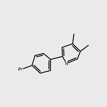 Cc1cnc(-c2ccc(C(C)C)cc2)cc1C